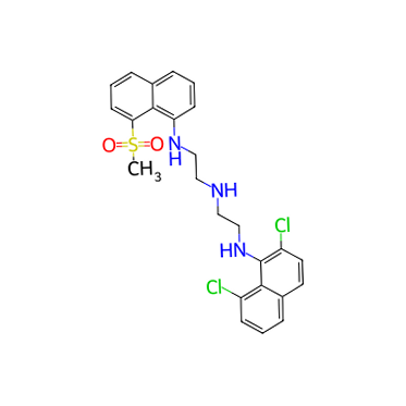 CS(=O)(=O)c1cccc2cccc(NCCNCCNc3c(Cl)ccc4cccc(Cl)c34)c12